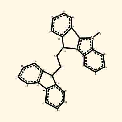 Cn1c2c(c3ccccc31)C(CCC1c3ccccc3-c3ccccc31)c1ccccc1-2